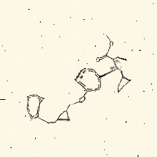 COC(=O)[C@@H](C)[C@H](c1cccc(OCC2CC2Cc2ccccc2)c1)C1CC1